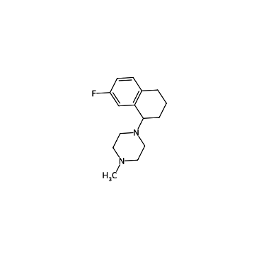 CN1CCN(C2CCCc3ccc(F)cc32)CC1